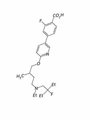 CCN(CCC(C)COc1ccc(-c2ccc(C(=O)O)c(F)c2)cn1)CC(F)(CC)CC